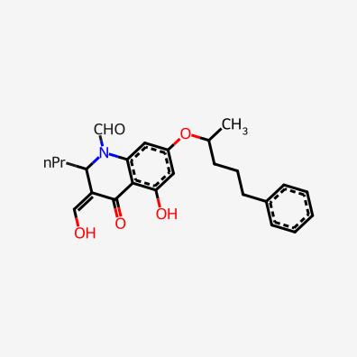 CCCC1C(=CO)C(=O)c2c(O)cc(OC(C)CCCc3ccccc3)cc2N1C=O